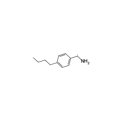 CCCCc1ccc([CH]N)cc1